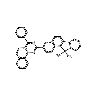 CC1(C)c2ccccc2-c2ccc3cc(-c4nc(-c5ccccc5)c5ccc6ccccc6c5n4)ccc3c21